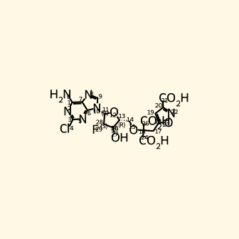 Nc1nc(Cl)nc2c1ncn2[C@@H]1O[C@H](COC(Cc2cc(C(=O)O)no2)(C(=O)O)C(=O)O)[C@@H](O)[C@@H]1F